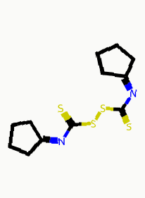 S=C(N=C1CCCC1)SSC(=S)N=C1CCCC1